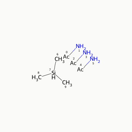 CC(N)=O.CC(N)=O.CC(N)=O.C[SiH](C)C